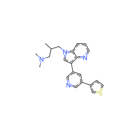 CC(CN(C)C)Cn1cc(-c2cncc(-c3ccsc3)c2)c2ncccc21